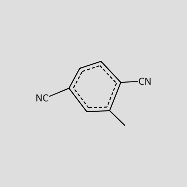 Cc1cc(C#N)ccc1C#N